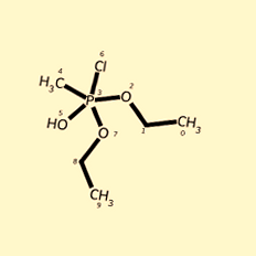 CCOP(C)(O)(Cl)OCC